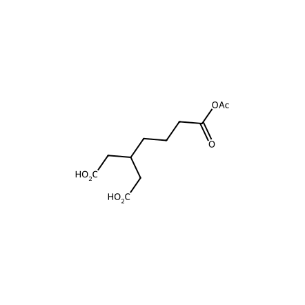 CC(=O)OC(=O)CCCC(CC(=O)O)CC(=O)O